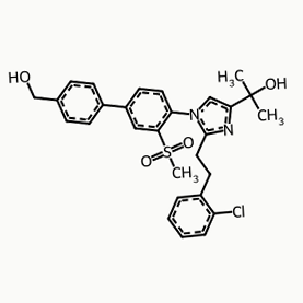 CC(C)(O)c1cn(-c2ccc(-c3ccc(CO)cc3)cc2S(C)(=O)=O)c(CCc2ccccc2Cl)n1